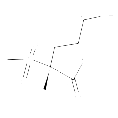 C[C@@](CCCO)(C(=O)O)S(C)(=O)=O